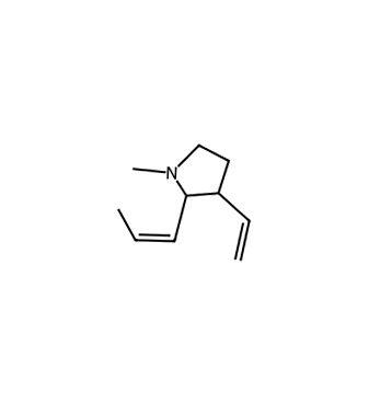 C=CC1CCN(C)C1/C=C\C